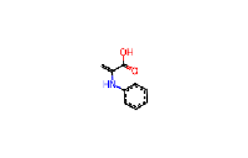 C=C(Nc1ccccc1)C(=O)O